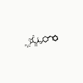 CC1OC(=O)C1NC(=O)OC1CCC(=Cc2ccccc2)CC1